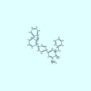 O=c1c([N+](=O)[O-])cc(-c2ccc(-c3cccc4c3oc3ccccc34)cc2)cn1Cc1ccccc1